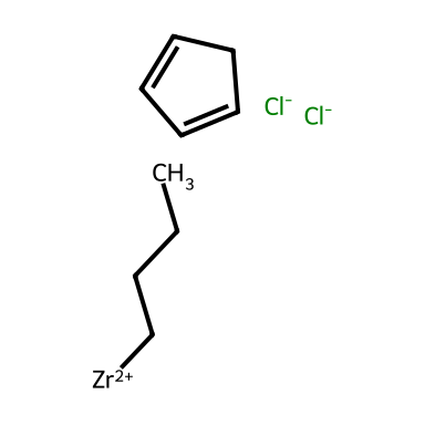 C1=CCC=C1.CCC[CH2][Zr+2].[Cl-].[Cl-]